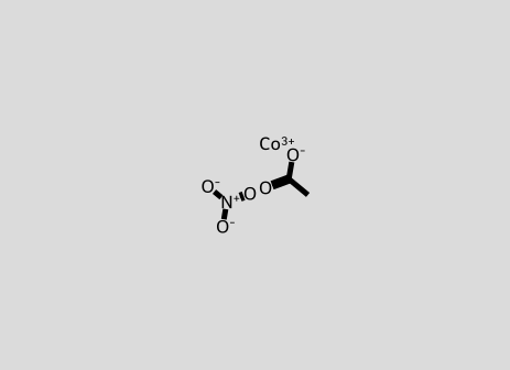 CC(=O)[O-].O=[N+]([O-])[O-].[Co+3]